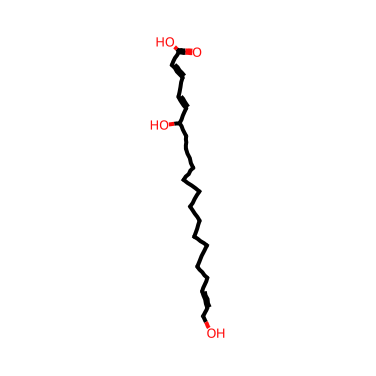 O=C(O)C=CC=CC(O)CCCCCCCCCCCC=CCO